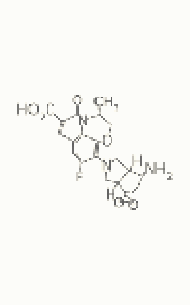 C[C@H]1COc2c(N3C[C@H]4[C@@H](C3)S(=O)(=O)C[C@@H]4N)c(F)cc3cc(C(=O)O)c(=O)n1c23